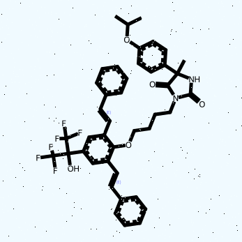 CC(C)Oc1ccc(C2(C)NC(=O)N(CCCCOc3c(/C=C/c4ccccc4)cc(C(O)(C(F)(F)F)C(F)(F)F)cc3/C=C/c3ccccc3)C2=O)cc1